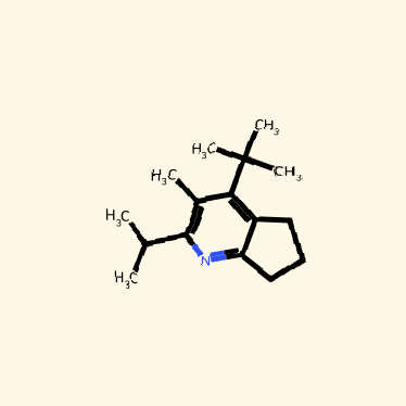 Cc1c(C(C)C)nc2c(c1C(C)(C)C)CCC2